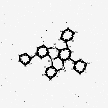 c1ccc(-c2ccc3c(c2)B2c4ccccc4Oc4c(-c5ccccc5)cc(-c5ccccc5)c(c42)O3)cc1